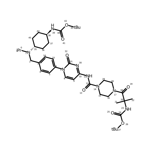 CC(C)N(Cc1ccc(-n2ccc(NC(=O)N3CCN(C(=O)C(C)(C)NC(=O)OC(C)(C)C)CC3)nc2=O)cc1)[C@H]1CC[C@H](NC(=O)OC(C)(C)C)CC1